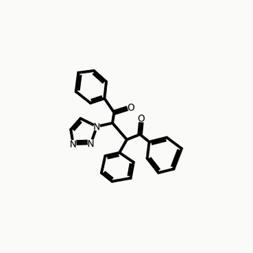 O=C(c1ccccc1)C(c1ccccc1)C(C(=O)c1ccccc1)n1ccnn1